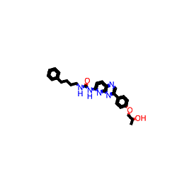 CC(O)COc1ccc(-c2cnc3ccc(NC(=O)NCCCCc4ccccc4)nc3n2)cc1